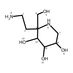 NCCC1(CO)NCC(O)C(O)C1O